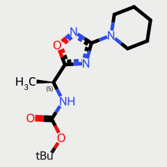 C[C@H](NC(=O)OC(C)(C)C)c1nc(N2CCCCC2)no1